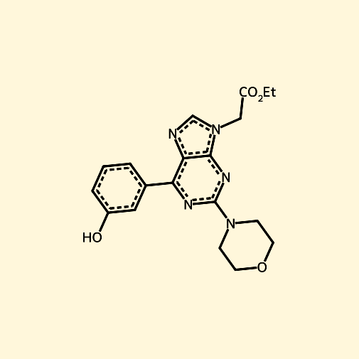 CCOC(=O)Cn1cnc2c(-c3cccc(O)c3)nc(N3CCOCC3)nc21